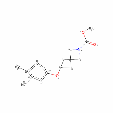 CC(C)(C)OC(=O)N1CC2(CC(Oc3ccc(C(F)(F)F)c(C#N)c3)C2)C1